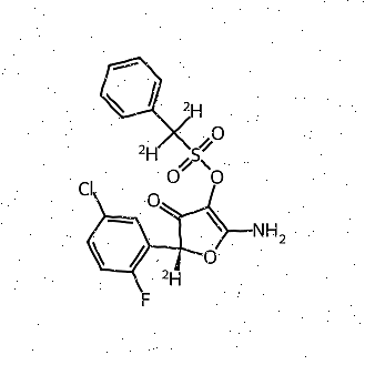 [2H]C([2H])(c1ccccc1)S(=O)(=O)OC1=C(N)O[C@]([2H])(c2cc(Cl)ccc2F)C1=O